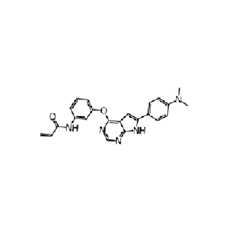 C=CC(=O)Nc1cccc(Oc2ncnc3[nH]c(-c4ccc(N(C)C)cc4)cc23)c1